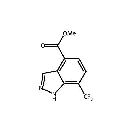 COC(=O)c1ccc(C(F)(F)F)c2[nH]ncc12